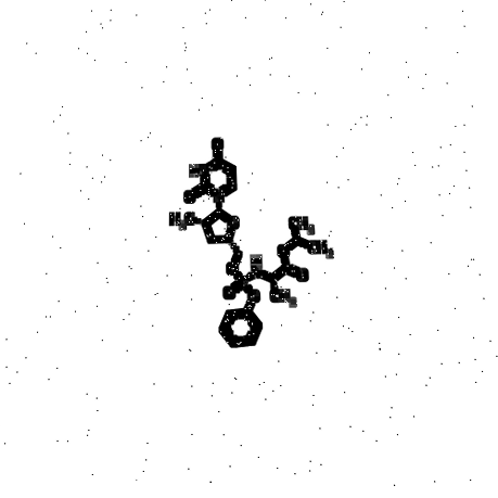 CC(C)OC(=O)[C@@H](C)N[P@@](=O)(OC[C@@H]1C[C@H](C)[C@H](n2ccc(=O)[nH]c2=O)O1)Oc1ccccc1